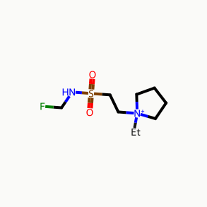 CC[N+]1(CCS(=O)(=O)NCF)CCCC1